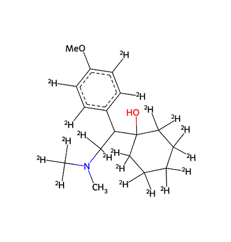 [2H]c1c([2H])c(C(C([2H])([2H])N(C)C([2H])([2H])[2H])C2(O)C([2H])([2H])C([2H])([2H])C([2H])([2H])C([2H])([2H])C2([2H])[2H])c([2H])c([2H])c1OC